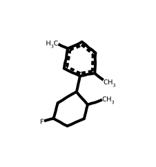 Cc1ccc(C)c(C2CC(F)CCC2C)c1